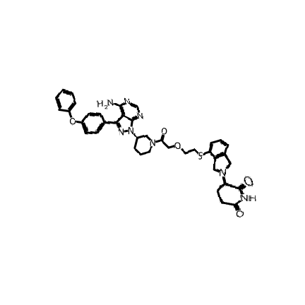 Nc1ncnc2c1c(-c1ccc(Oc3ccccc3)cc1)nn2[C@@H]1CCCN(C(=O)COCCSc2cccc3c2CN(C2CCC(=O)NC2=O)C3)C1